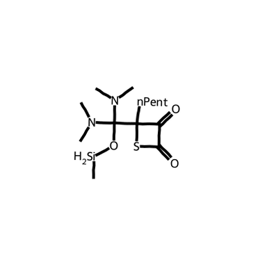 CCCCCC1(C(O[SiH2]C)(N(C)C)N(C)C)SC(=O)C1=O